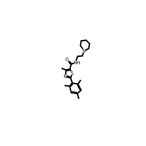 Cc1cc(C)c(-c2nc(C)c(C(=O)NCCN3CCCCC3)s2)c(C)c1